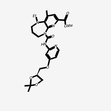 CCN1CCCN(C(=O)Nc2cc(OC[C@H]3COC(C)(C)O3)ccn2)c2nc(C(=O)OC)cc(C)c21